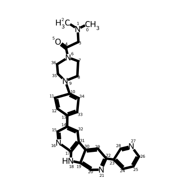 CN(C)CC(=O)N1CCN(c2ccc(-c3cnc4[nH]c5cnc(-c6cccnc6)cc5c4c3)cc2)CC1